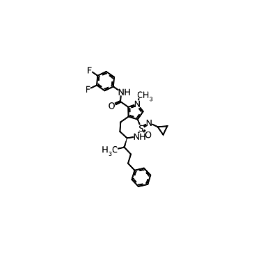 CC(CCc1ccccc1)[C@H]1CCc2c(cn(C)c2C(=O)Nc2ccc(F)c(F)c2)S(=O)(=NC2CC2)N1